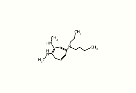 CCCCN(CCC)C1=CC(NC)=C(NC)CC=C1